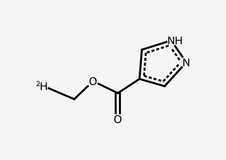 [2H]COC(=O)c1cn[nH]c1